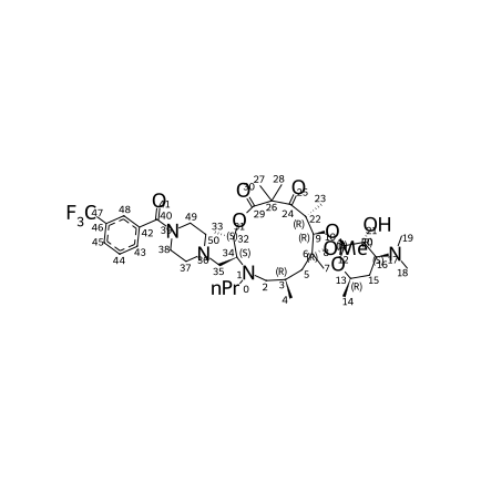 CCCN1C[C@H](C)C[C@@](C)(OC)[C@H](O[C@@H]2O[C@H](C)C[C@H](N(C)C)[C@H]2O)[C@@H](C)C(=O)C(C)(C)C(=O)O[C@@H](C)[C@@H]1CN1CCN(C(=O)c2cccc(C(F)(F)F)c2)CC1